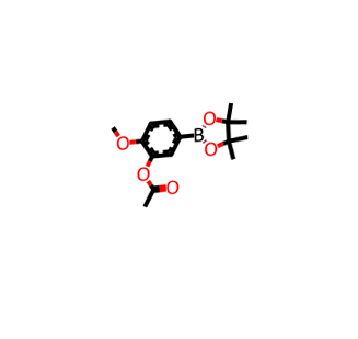 COc1ccc(B2OC(C)(C)C(C)(C)O2)cc1OC(C)=O